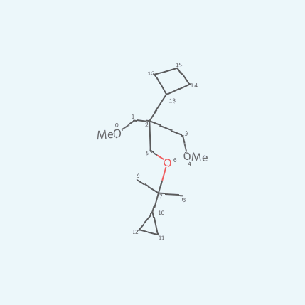 COCC(COC)(COC(C)(C)C1CC1)C1CCC1